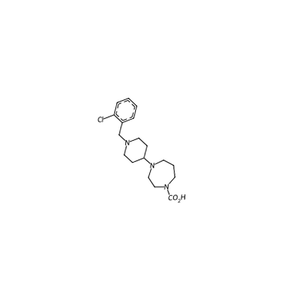 O=C(O)N1CCCN(C2CCN(Cc3ccccc3Cl)CC2)CC1